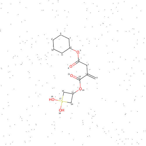 C=C(CC(=O)OC1CCCCC1)C(=O)OC1CS(O)(O)C1